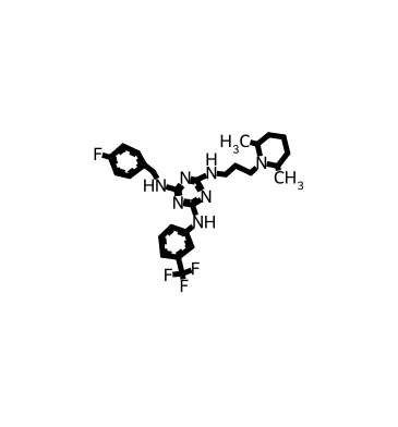 CC1CCCC(C)N1CCCNc1nc(NCc2ccc(F)cc2)nc(Nc2cccc(C(F)(F)F)c2)n1